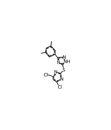 Cc1cc(C)cc(-c2n[nH]c(Sc3nc(Cl)cc(Cl)n3)n2)c1